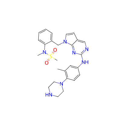 Cc1cc(Nc2ncc3ccn(Cc4ccccc4N(C)S(C)(=O)=O)c3n2)ccc1N1CCNCC1